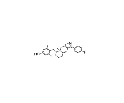 Cc1cc(O)cc(C)c1CC1CCCC2=Cc3c(cnn3-c3ccc(F)cc3)CC21C